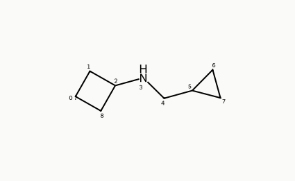 [CH]1CC(NCC2CC2)C1